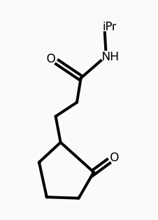 CC(C)NC(=O)CCC1CCCC1=O